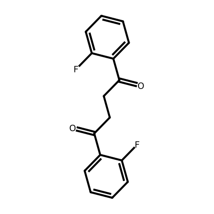 O=C(CCC(=O)c1ccccc1F)c1ccccc1F